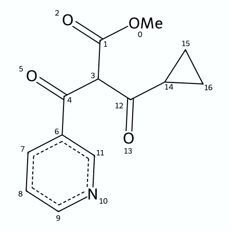 COC(=O)C(C(=O)c1cccnc1)C(=O)C1CC1